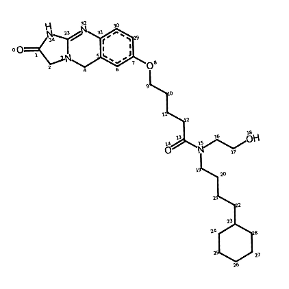 O=C1CN2Cc3cc(OCCCCC(=O)N(CCO)CCCCC4CCCCC4)ccc3N=C2N1